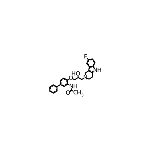 CC(=O)Nc1cc(-c2ccccc2)ccc1OCC(O)CN1CCc2[nH]c3ccc(F)cc3c2C1